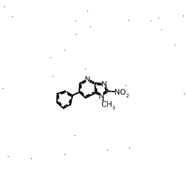 Cn1c([N+](=O)[O-])nc2ncc(-c3ccccc3)cc21